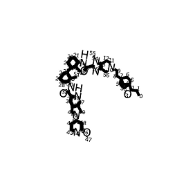 CCC(=O)C12CCC(CCN3CCc4c(nc(C(=O)Nc5cccc(-c6cccc(NC(=O)c7cc8c(cn7)CN(c7ccnc(OC)c7)C8)c6C)c5C)n4C)C3)(CC1)C2